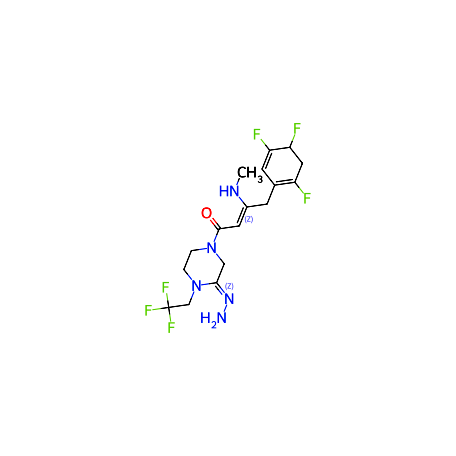 CN/C(=C\C(=O)N1CCN(CC(F)(F)F)/C(=N\N)C1)CC1=C(F)CC(F)C(F)=C1